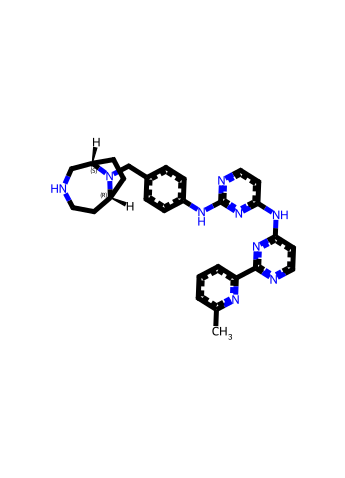 Cc1cccc(-c2nccc(Nc3ccnc(Nc4ccc(CN5[C@H]6CCNC[C@@H]5CC6)cc4)n3)n2)n1